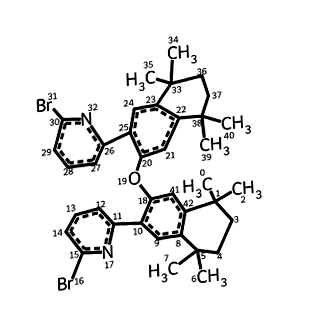 CC1(C)CCC(C)(C)c2cc(-c3cccc(Br)n3)c(Oc3cc4c(cc3-c3cccc(Br)n3)C(C)(C)CCC4(C)C)cc21